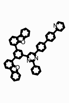 c1ccc(-c2nc(-c3ccc(-c4ccc(-c5ccccn5)cc4)cc3)cc(-c3cc(-c4cccc5c4oc4ccccc45)cc(-c4cccc5c4oc4ccccc45)c3)n2)cc1